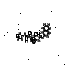 Cc1c(C(=O)NCC2CCOC2)noc1CCCc1ccc2ccccc2c1